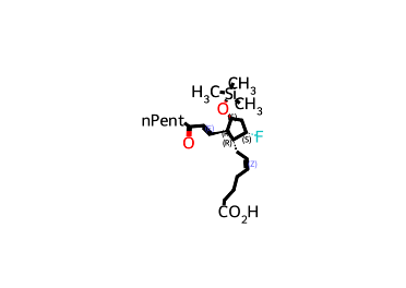 CCCCCC(=O)/C=C/[C@@H]1[C@@H](C/C=C\CCCC(=O)O)[C@@H](F)C[C@@H]1O[Si](C)(C)C